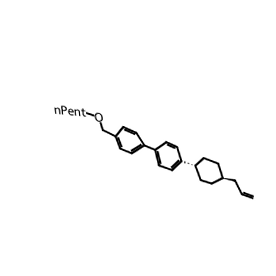 C=CC[C@H]1CC[C@H](c2ccc(-c3ccc(COCCCCC)cc3)cc2)CC1